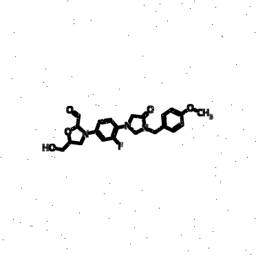 COc1ccc(CN2CN(c3ccc(N4CC(CO)OC4C=O)cc3F)CC2=O)cc1